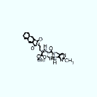 Cc1ncc(CNC(=O)[C@H](CC(C)C)N[C@H](CCN2C(=O)c3cc4ccccc4cc3C2=O)C(=O)OC(C)(C)C)c(O)n1